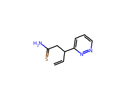 C=CC(CC(N)=S)c1cccnn1